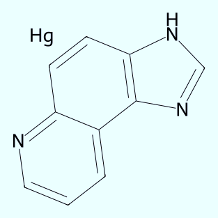 [Hg].c1cnc2ccc3[nH]cnc3c2c1